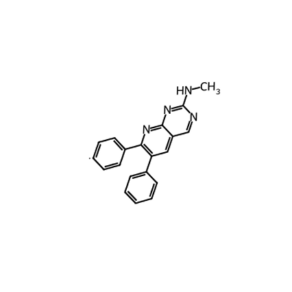 CNc1ncc2cc(-c3ccccc3)c(-c3cc[c]cc3)nc2n1